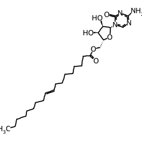 CCCCCCCCC=CCCCCCCCC(=O)OC[C@H]1O[C@@H](n2cnc(N)nc2=O)[C@H](O)[C@@H]1O